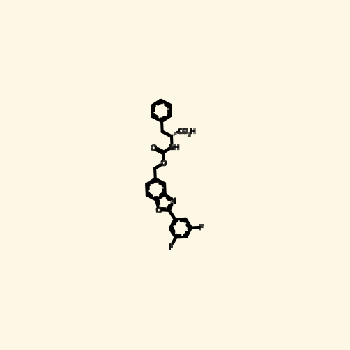 O=C(N[C@H](Cc1ccccc1)C(=O)O)OCc1ccc2oc(-c3cc(F)cc(F)c3)nc2c1